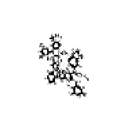 COc1ccc(N(C)C(=O)[C@H](Cc2cc(F)cc(F)c2)NC(=O)CN2c3ccccc3N(CC(=O)N[C@@H](Cc3cc(F)cc(F)c3)C(=O)N(C)c3ccc4scnc4c3)S2(=O)=O)cc1